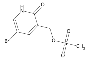 CS(=O)(=O)OCc1cc(Br)c[nH]c1=O